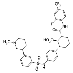 CN1CCC[C@@H](c2cccc(S(=O)(=O)Nc3ccc([C@H]4CCC[C@@H](C(=O)Nc5ccc(C(F)(F)F)cc5F)[C@@H]4C(=O)O)cc3)c2)C1